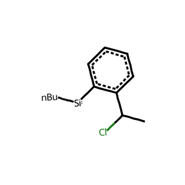 CCCC[Si]c1ccccc1C(C)Cl